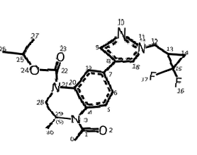 CC(=O)N1c2ccc(-c3cnn(CC4CC4(F)F)c3)cc2N(C(=O)OC(C)C)C[C@@H]1C